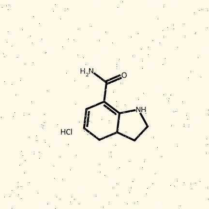 Cl.NC(=O)C1=C2NCCC2CC=C1